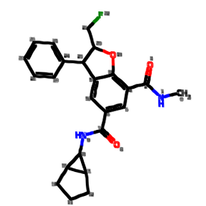 CNC(=O)c1cc(C(=O)NC2C3CCCC32)cc2c1OC(CF)C2c1ccccc1